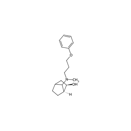 CN(CCCOc1ccccc1)C1C2CC[C@@H]1[C@H](O)C2